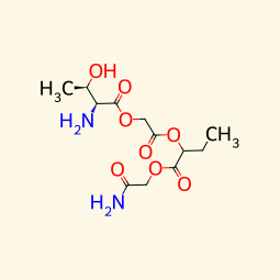 CCC(OC(=O)COC(=O)[C@@H](N)[C@@H](C)O)C(=O)OCC(N)=O